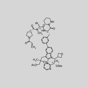 C=CC(=O)N1CC[C@H](C(=O)N(C)[C@H](C(=O)N[C@@H](Cc2cccc(-c3ccc4c(c3)c(CC(C)(C)COC(C)=O)c(-c3cccnc3[C@H](C)OC)n4CC3COC3)c2)C(=O)N2CCCCN2)C(C)C)C1